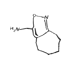 Nc1onc2c1CCCC2